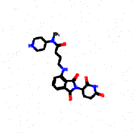 CN(C(=O)CCCNc1cccc2c1C(=O)N(C1CCC(=O)NC1=O)C2=O)C1CCNCC1